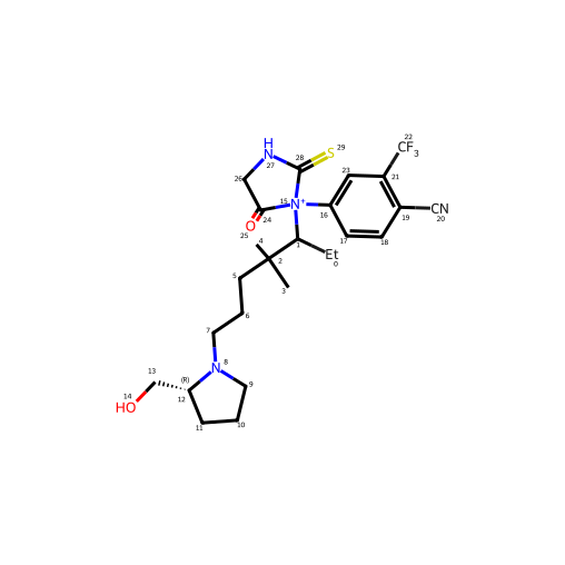 CCC(C(C)(C)CCCN1CCC[C@@H]1CO)[N+]1(c2ccc(C#N)c(C(F)(F)F)c2)C(=O)CNC1=S